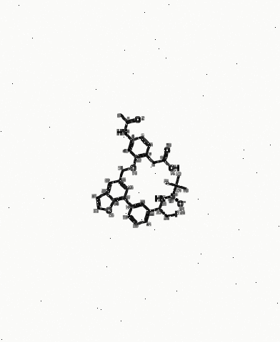 CC(=O)Nc1ccc(CC(=O)O)c(OCc2cc(-c3cccc(C(CF)N[S@+]([O-])C(C)(C)C)c3)c3occc3c2)c1